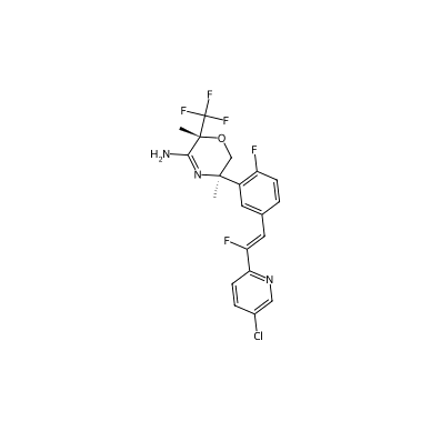 C[C@@]1(c2cc(/C=C(\F)c3ccc(Cl)cn3)ccc2F)CO[C@@](C)(C(F)(F)F)C(N)=N1